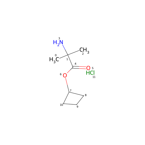 CC(C)(N)C(=O)OC1CCC1.Cl